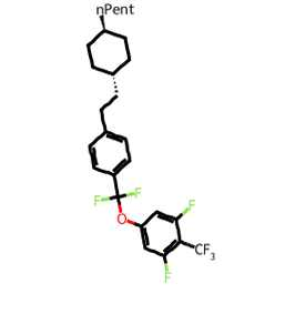 CCCCC[C@H]1CC[C@H](CCc2ccc(C(F)(F)Oc3cc(F)c(C(F)(F)F)c(F)c3)cc2)CC1